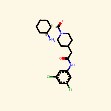 N[C@H]1CCCC[C@@H]1C(=O)N1CCC(CC(=O)Nc2cc(Cl)cc(Cl)c2)CC1